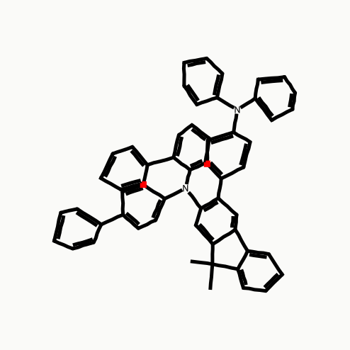 CC1(C)c2ccccc2-c2cc(-c3ccc(N(c4ccccc4)c4ccccc4)cc3)c(N(c3ccc(-c4ccccc4)cc3)c3ccccc3-c3ccccc3)cc21